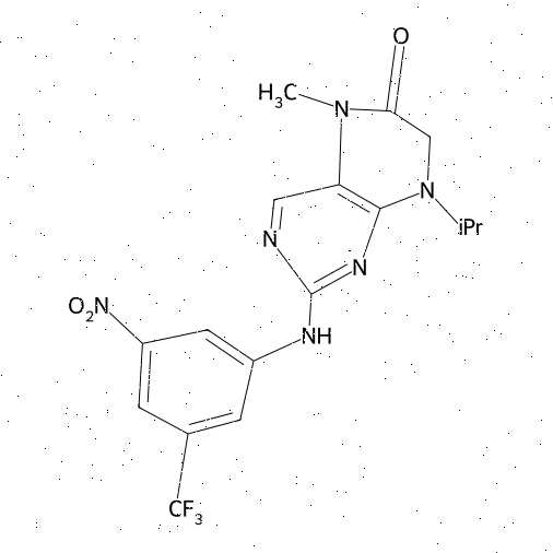 CC(C)N1CC(=O)N(C)c2cnc(Nc3cc([N+](=O)[O-])cc(C(F)(F)F)c3)nc21